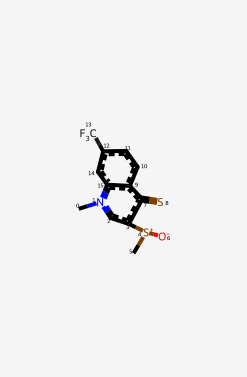 Cn1cc([S+](C)[O-])c(=S)c2ccc(C(F)(F)F)cc21